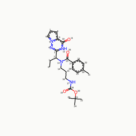 CCC(c1nn2cccc2c(=O)[nH]1)N(CCCNC(=O)OC(C)(C)C)C(=O)c1ccc(C)cc1